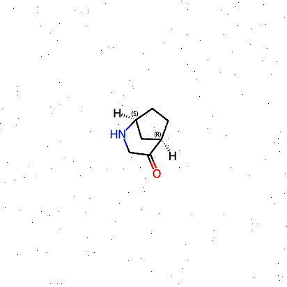 O=C1CN[C@H]2CC[C@@H]1C2